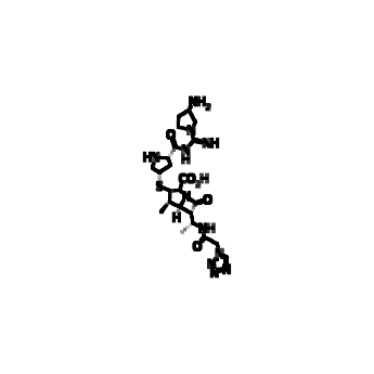 C[C@@H](NC(=O)Cn1cnnn1)[C@H]1C(=O)N2C(C(=O)O)C(S[C@@H]3CN[C@H](C(=O)NC(=N)N4CC[C@@H](N)C4)C3)[C@H](C)[C@H]12